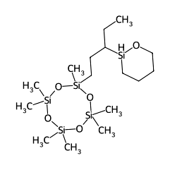 CCC(CC[Si]1(C)O[Si](C)(C)O[Si](C)(C)O[Si](C)(C)O1)[SiH]1CCCCO1